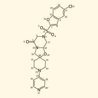 O=C1CN(S(=O)(=O)c2cc3cc(Cl)ccc3o2)CC2OC3(CCN(c4ccncc4)CC3)CN12